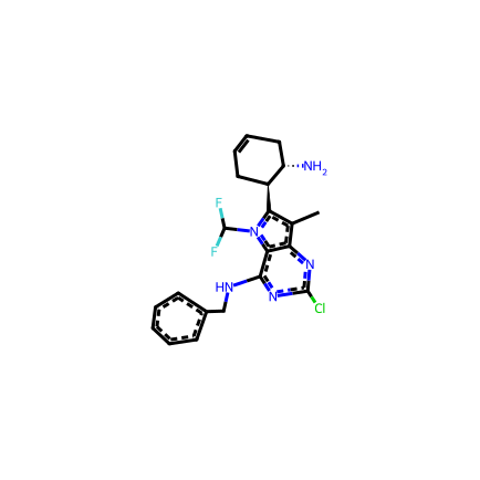 Cc1c([C@H]2CC=CC[C@@H]2N)n(C(F)F)c2c(NCc3ccccc3)nc(Cl)nc12